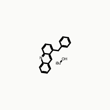 CCC(C)O.c1ccc(Cc2cccc3nc4ccccc4cc23)cc1